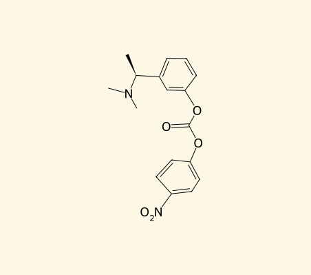 C[C@@H](c1cccc(OC(=O)Oc2ccc([N+](=O)[O-])cc2)c1)N(C)C